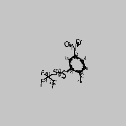 O=[N+]([O-])c1ccc(F)c(SSC(F)(F)F)c1